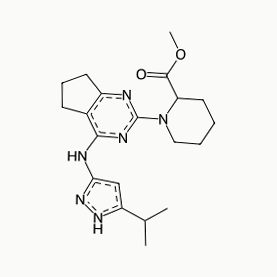 COC(=O)C1CCCCN1c1nc2c(c(Nc3cc(C(C)C)[nH]n3)n1)CCC2